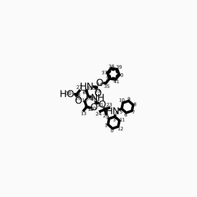 C1CCC(NC2CCCCC2)CC1.CC(C)C[C@H](NC(=O)OC(C)(C)C)[C@H](CC(=O)O)NC(=O)OCc1ccccc1